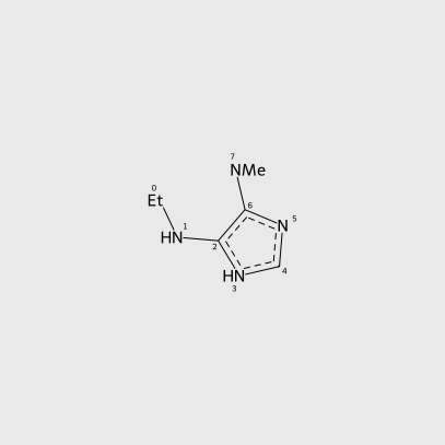 CCNc1[nH]cnc1NC